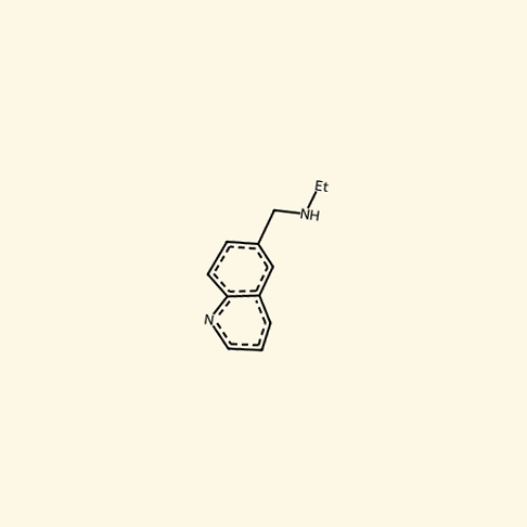 CCNCc1ccc2ncccc2c1